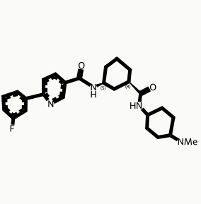 CNC1CCC(NC(=O)[C@@H]2CCC[C@H](NC(=O)c3ccc(-c4cccc(F)c4)nc3)C2)CC1